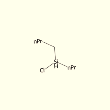 CCCC[SiH](Cl)CCC